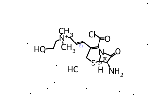 C[N+](C)(C/C=C/C1=C(C(=O)Cl)N2C(=O)[C@@H](N)[C@H]2SC1)CCO.Cl